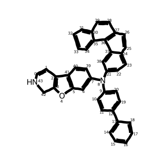 C1=Cc2c(oc3cc(N(c4ccc(-c5ccccc5)cc4)c4ccc5ccc6ccc7ccccc7c6c5c4)ccc23)CN1